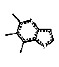 Cc1nc2ccsc2c(C)c1C